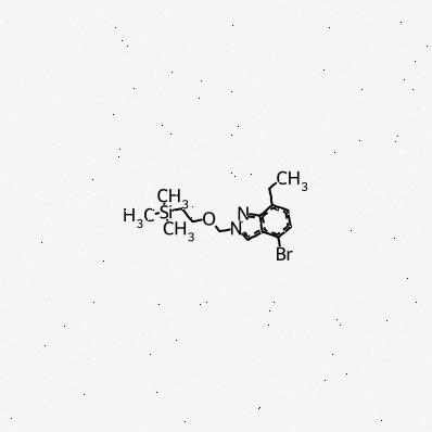 CCc1ccc(Br)c2cn(COCC[Si](C)(C)C)nc12